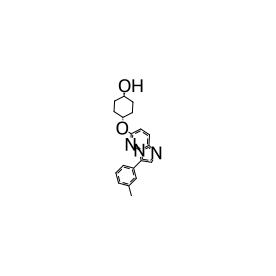 Cc1cccc(-c2cnc3ccc(O[C@H]4CC[C@H](O)CC4)nn23)c1